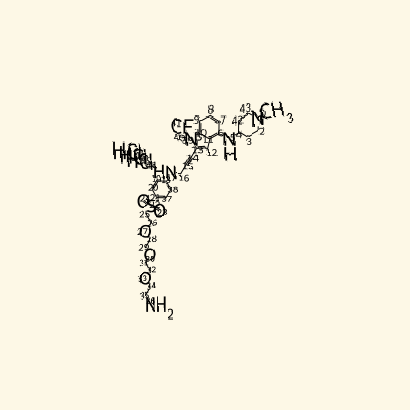 CN1CCC(Nc2cccc3c2cc(C#CCNc2ccc(S(=O)(=O)CCOCCOCCOCCN)cc2)n3CC(F)(F)F)CC1.Cl.Cl.Cl